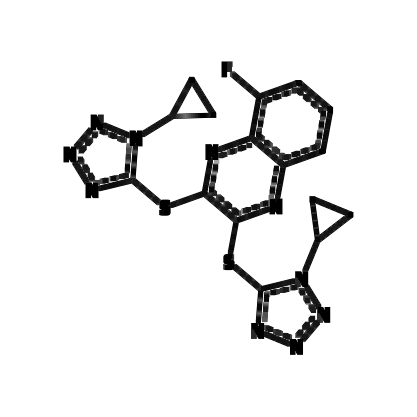 Fc1cccc2nc(Sc3nnnn3C3CC3)c(Sc3nnnn3C3CC3)nc12